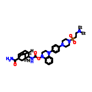 CCN(CC)CCS(=O)(=O)N1CCN(c2ccc(N3CCN(OC(=O)NC4[C@@H]5CC6C[C@H]4CC(C(N)=O)(C6)C5)c4ccccc43)cc2)CC1